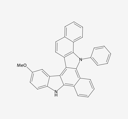 COc1ccc2[nH]c3c4ccccc4c4c(c5ccc6ccccc6c5n4-c4ccccc4)c3c2c1